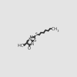 C#Cc1cn2nc(SCCCCCCC)sc2nc1=O